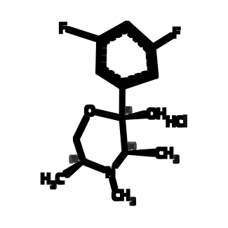 C[C@H]1CO[C@](O)(c2cc(F)cc(F)c2)[C@@H](C)N1C.Cl